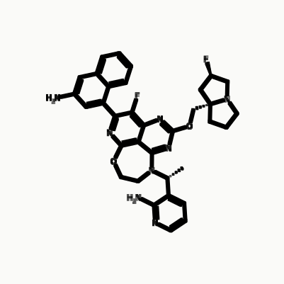 C[C@H](c1cccnc1N)N1CCOc2nc(-c3cc(N)cc4ccccc34)c(F)c3nc(OC[C@@]45CCCN4C[C@H](F)C5)nc1c23